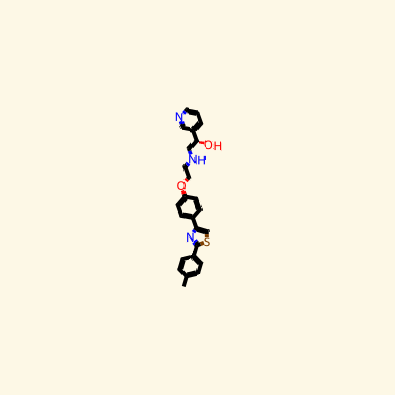 Cc1ccc(-c2nc(-c3ccc(OCCNC[C@H](O)c4cccnc4)cc3)cs2)cc1